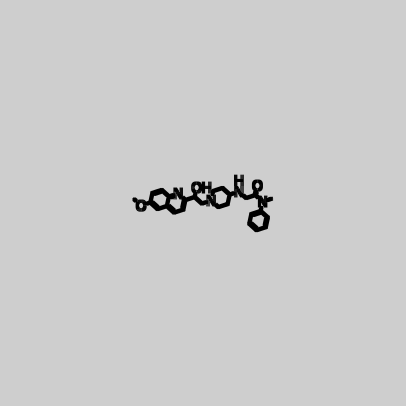 COc1ccc2nc(C(O)CN3CCC(NCC(=O)N(C)c4ccccc4)CC3)ccc2c1